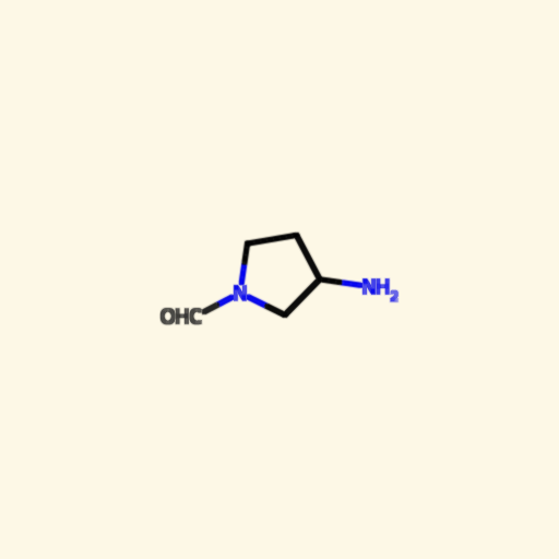 NC1CCN(C=O)C1